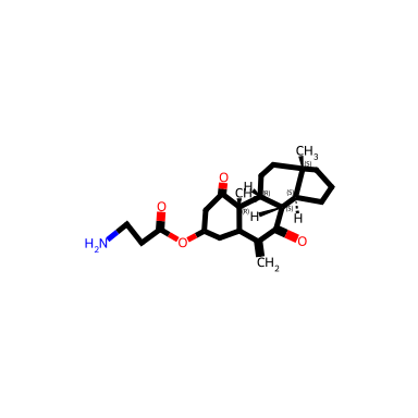 C=C1C(=O)[C@@H]2[C@@H](CC[C@]3(C)CCC[C@@H]23)[C@@]2(C)C(=O)CC(OC(=O)CCN)CC12